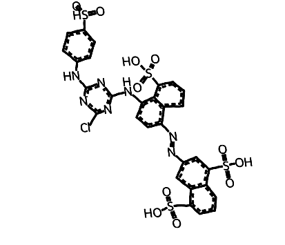 O=[SH](=O)c1ccc(Nc2nc(Cl)nc(Nc3ccc(N=Nc4cc(S(=O)(=O)O)c5cccc(S(=O)(=O)O)c5c4)c4cccc(S(=O)(=O)O)c34)n2)cc1